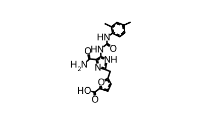 Cc1ccc(NC(=O)Nc2[nH]c(Cc3ccc(C(=O)O)o3)nc2C(N)=O)c(C)c1